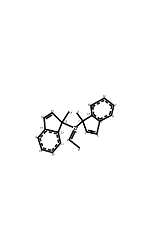 C[CH]=[Zr]([C]1(C)C=Cc2ccccc21)[C]1(C)C=Cc2ccccc21